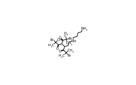 CC(C)(Br)C(=O)C(CCNCCCCN)N(C(=O)C(C)(C)Br)C(=O)C(C)(C)Br